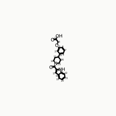 O=C(O)COc1cccc(C2CCN(C(=O)c3cc4ccccc4[nH]3)CC2)c1